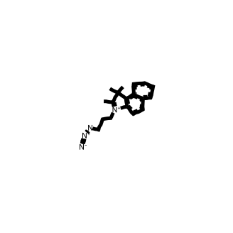 CC1=[N+](CCCN=[N+]=[N-])c2ccc3ccccc3c2C1(C)C